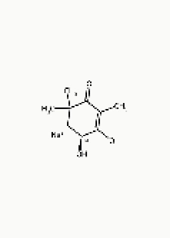 CC1=C([O-])[C@@H](O)CC(C)(C)C1=O.[Na+]